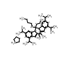 C1CC[SiH2]C1.CCC[CH2][Zr][C](CCC)(C1C(CC)=Cc2c(C(C)C)cc(C(C)C)cc21)C1C(CC)=Cc2c(C(C)C)cc(C(C)C)cc21